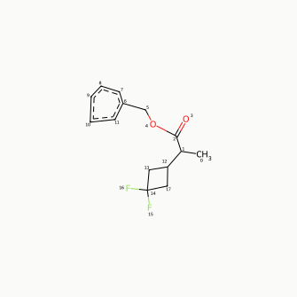 CC(C(=O)OCc1ccccc1)C1CC(F)(F)C1